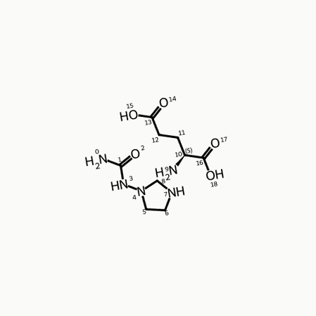 NC(=O)NN1CCNC1.N[C@@H](CCC(=O)O)C(=O)O